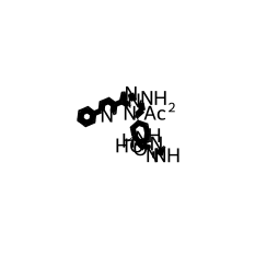 CC(=O)c1c([C@@H]2C[C@H]3CC(O)[C@@H](C2)N3C(=O)c2nc[nH]n2)nc2c(-c3ccc(-c4ccccc4)nc3)cnn2c1N